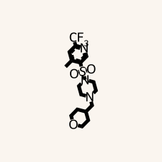 Cc1cc(C(F)(F)F)ncc1S(=O)(=O)N1CCN(CC2CCOCC2)CC1